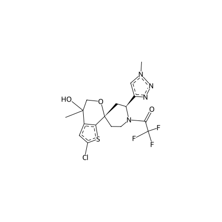 Cn1cc([C@@H]2C[C@]3(CCN2C(=O)C(F)(F)F)OCC(C)(O)c2cc(Cl)sc23)nn1